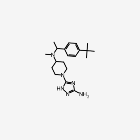 CC(c1ccc(C(C)(C)C)cc1)N(C)C1CCN(c2nc(N)n[nH]2)CC1